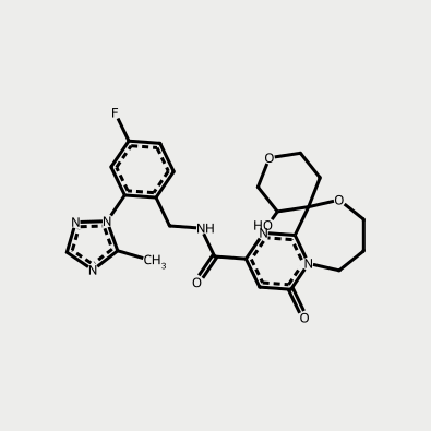 Cc1ncnn1-c1cc(F)ccc1CNC(=O)c1cc(=O)n2c(n1)C1(CCOCC1O)OCCC2